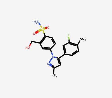 COc1ccc(-c2cc(C(F)(F)F)nn2-c2ccc(S(N)(=O)=O)c(CO)c2)cc1F